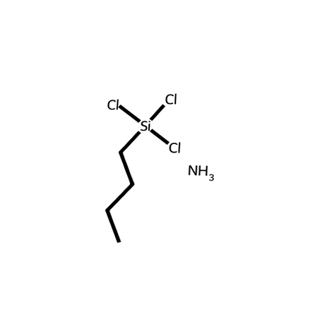 CCCC[Si](Cl)(Cl)Cl.N